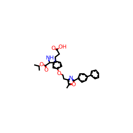 Cc1oc(-c2ccc(-c3ccccc3)cc2)nc1CCOc1ccc(CCC(=O)O)c(C(N)C(=O)OC(C)C)c1